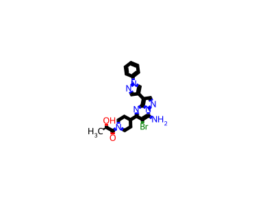 C[C@@H](O)C(=O)N1CCC(c2nc3c(-c4cnn(-c5ccccc5)c4)cnn3c(N)c2Br)CC1